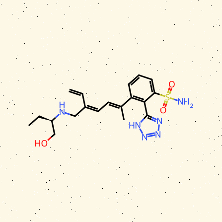 C=C/C(=C\C=C(/C)c1cccc(S(N)(=O)=O)c1-c1nnn[nH]1)CN[C@H](CC)CO